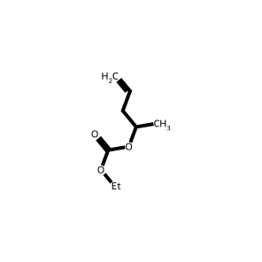 C=CCC(C)OC(=O)OCC